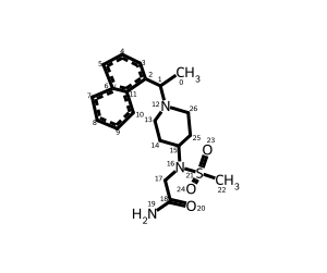 CC(c1cccc2ccccc12)N1CCC(N(CC(N)=O)S(C)(=O)=O)CC1